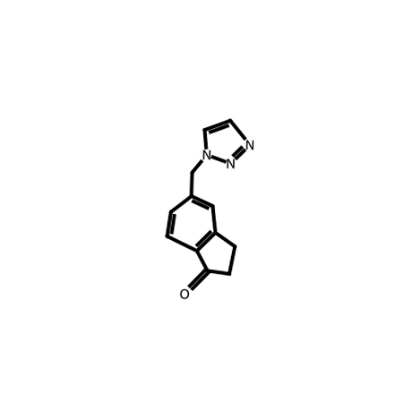 O=C1CCc2cc(Cn3ccnn3)ccc21